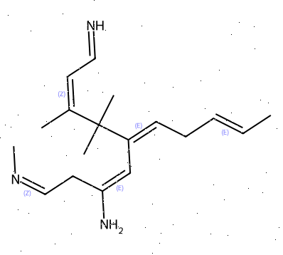 C/C=C/C/C=C(\C=C(\N)C/C=N\C)C(C)(C)/C(C)=C\C=N